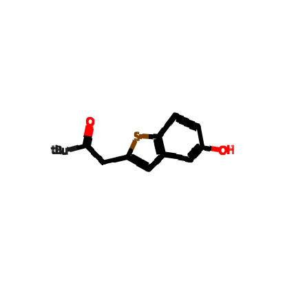 CC(C)(C)C(=O)Cc1cc2cc(O)ccc2s1